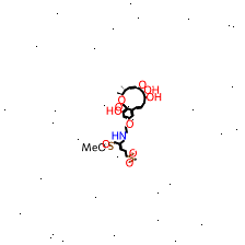 COOSC/C(=C/CCS(C)(=O)=O)CNCCOc1cc(O)c2c(c1)/C=C/C[C@H](O)[C@H](O)C(=O)/C=C\[C@@H](C)[C@H](C)OC2=O